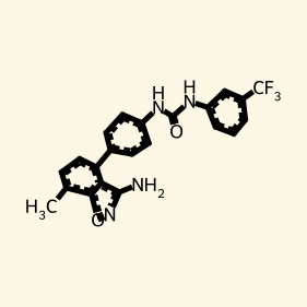 Cc1ccc(-c2ccc(NC(=O)Nc3cccc(C(F)(F)F)c3)cc2)c2c(N)noc12